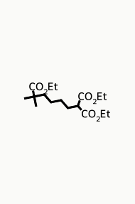 CCOC(=O)C(CCCCC(C)(C)C(=O)OCC)C(=O)OCC